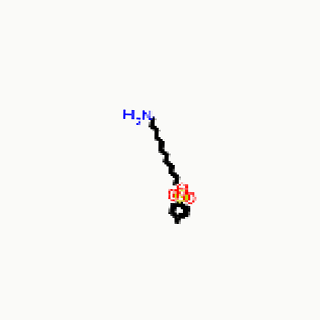 Cc1ccc(S(=O)(=O)OCCCCCCCCCCCCN)cc1